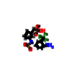 Nc1ccccc1C(F)(F)F.O=S(=O)=Nc1cccc(CS(=O)(=O)O)c1